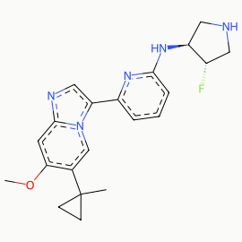 COc1cc2ncc(-c3cccc(N[C@H]4CNC[C@@H]4F)n3)n2cc1C1(C)CC1